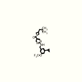 CN(C)CC1CN(C(=O)c2cnc(NCc3cc(OC(F)(F)F)cc(C4CC4)c3)nc2)C1